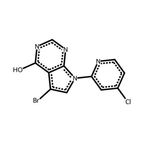 Oc1ncnc2c1c(Br)cn2-c1cc(Cl)ccn1